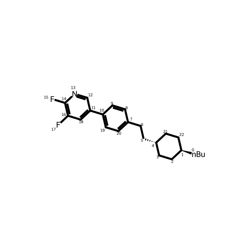 CCCC[C@H]1CC[C@H](CCc2ccc(-c3cnc(F)c(F)c3)cc2)CC1